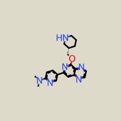 CN(C)c1ccc(-c2cc3nccnc3c(OC[C@H]3CCCNC3)n2)cn1